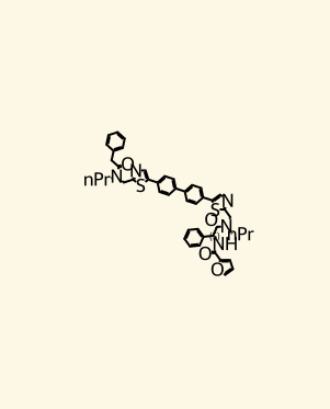 CCCN(Cc1ncc(-c2ccc(-c3ccc(-c4cnc(CN(CCC)C(=O)[C@@H](NC(=O)c5ccco5)c5ccccc5)s4)cc3)cc2)s1)C(=O)Cc1ccccc1